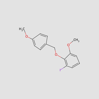 COc1ccc(COc2c(I)cccc2OC)cc1